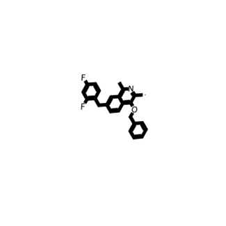 [CH2]c1nc(C)c2cc(Cc3ccc(F)cc3F)ccc2c1OCc1ccccc1